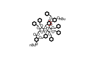 CCCCOc1ccc(C(=O)OCC2OC(OC(OC(COC(=O)c3ccc(OCCCC)cc3OCc3ccccc3)[C@H](C)OCc3ccccc3)[C@H](COCc3ccccc3)OCc3ccccc3)C(OCc3ccccc3)C(OCc3ccccc3)C2OCc2ccccc2)c(OCc2ccccc2)c1